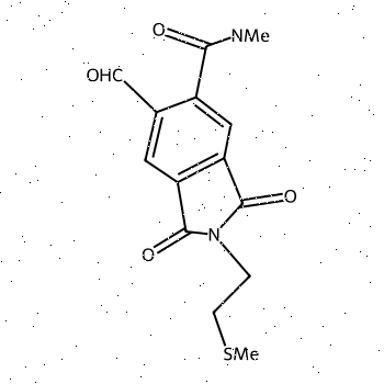 CNC(=O)c1cc2c(cc1C=O)C(=O)N(CCSC)C2=O